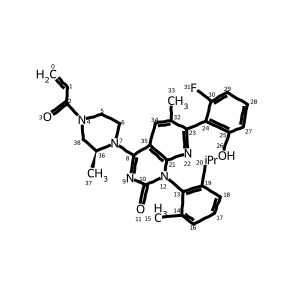 C=CC(=O)N1CCN(c2nc(=O)n(-c3c(C)cccc3C(C)C)c3nc(-c4c(O)cccc4F)c(C)cc23)[C@@H](C)C1